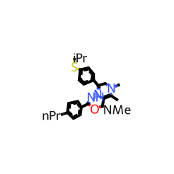 CCCc1ccc(C(=N)OC(NC)C2=C(C)N(C)CC(c3ccc(SC(C)C)cc3)=N2)cc1